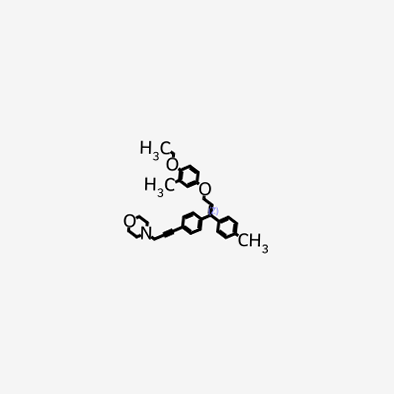 CCOc1ccc(OC/C=C(/c2ccc(C)cc2)c2ccc(C#CCN3CCOCC3)cc2)cc1C